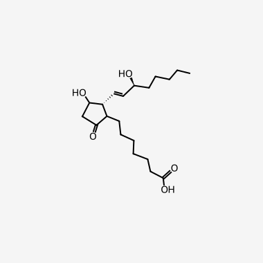 CCCCC[C@H](O)/C=C/[C@H]1C(O)CC(=O)C1CCCCCCC(=O)O